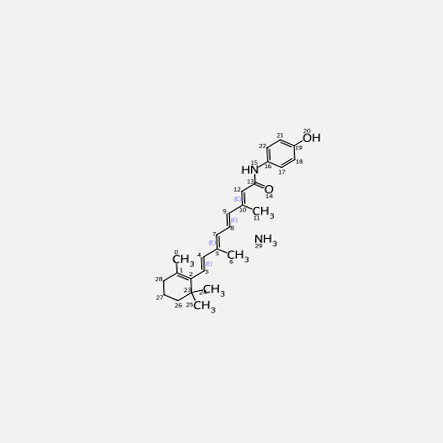 CC1=C(/C=C/C(C)=C/C=C/C(C)=C/C(=O)Nc2ccc(O)cc2)C(C)(C)CCC1.N